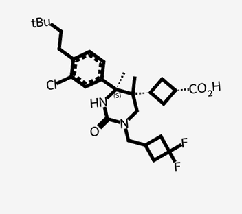 CC(C)(C)CCc1ccc([C@]2(C)NC(=O)N(CC3CC(F)(F)C3)CC2(C)[C@H]2C[C@@H](C(=O)O)C2)cc1Cl